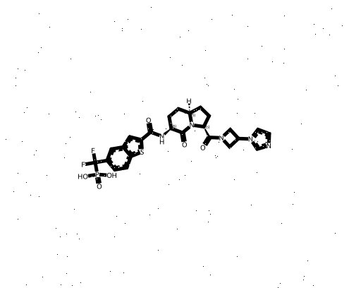 O=C(N[C@H]1CC[C@H]2CC[C@@H](C(=O)N3CC(n4ccnc4)C3)N2C1=O)c1cc2cc(C(F)(F)P(=O)(O)O)ccc2s1